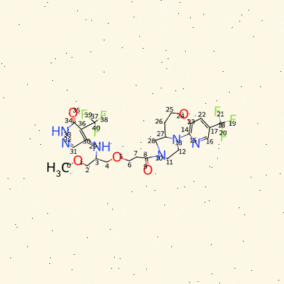 COCC(COCCC(=O)N1CCN2c3ncc(C(F)(F)F)cc3OCCC2C1)Nc1cn[nH]c(=O)c1C(F)(F)F